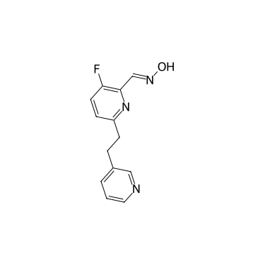 ON=Cc1nc(CCc2cccnc2)ccc1F